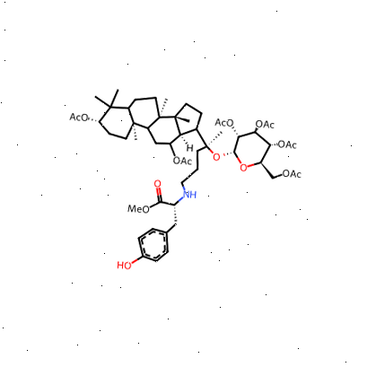 COC(=O)[C@@H](Cc1ccc(O)cc1)NCCC[C@](C)(O[C@H]1O[C@H](COC(C)=O)[C@@H](OC(C)=O)[C@H](OC(C)=O)[C@H]1OC(C)=O)C1CC[C@]2(C)[C@@H]1C(OC(C)=O)CC1[C@@]3(C)CC[C@H](OC(C)=O)C(C)(C)C3CC[C@]12C